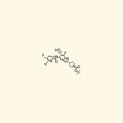 CC(C)(C)OC(=O)N1CCC(c2cn3cc(NC(=O)c4ccc(CF)c(C5CC5)n4)c(C(C)(C)O)c(F)c3n2)CC1